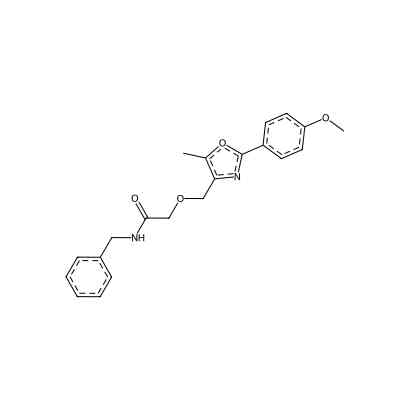 COc1ccc(-c2nc(COCC(=O)NCc3ccccc3)c(C)o2)cc1